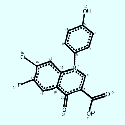 O=C(O)c1cn(-c2ccc(O)cc2)c2cc(Cl)c(F)cc2c1=O